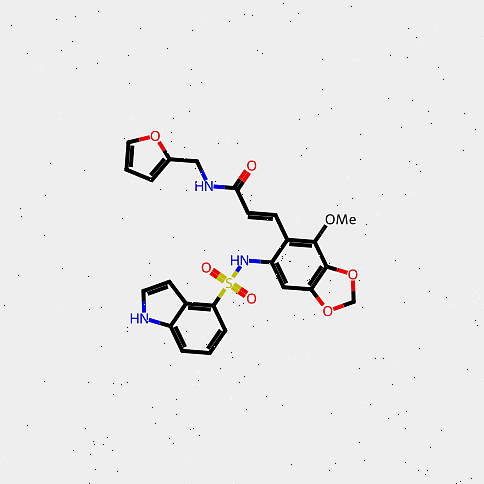 COc1c(/C=C/C(=O)NCc2ccco2)c(NS(=O)(=O)c2cccc3[nH]ccc23)cc2c1OCO2